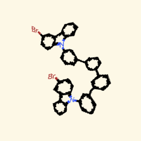 Brc1ccc2c(c1)c1ccccc1n2-c1cccc(-c2cccc(-c3cccc(-c4cccc(-n5c6ccccc6c6cc(Br)ccc65)c4)c3)c2)c1